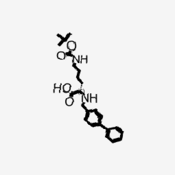 CC(C)(C)OC(=O)NCCCC[C@H](NCc1ccc(-c2ccccc2)cc1)C(=O)O